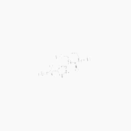 CCCCS(=O)(=O)c1nnc(N2C(=O)N(C)CCC2O)s1